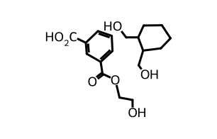 O=C(O)c1cccc(C(=O)OCCO)c1.OCC1CCCCC1CO